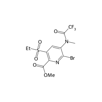 CCS(=O)(=O)c1cc(N(C)C(=O)C(F)(F)F)c(Br)nc1C(=O)OC